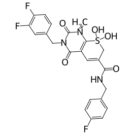 Cn1c2c(c(=O)n(Cc3ccc(F)c(F)c3)c1=O)C=C(C(=O)NCc1ccc(F)cc1)CS2(O)O